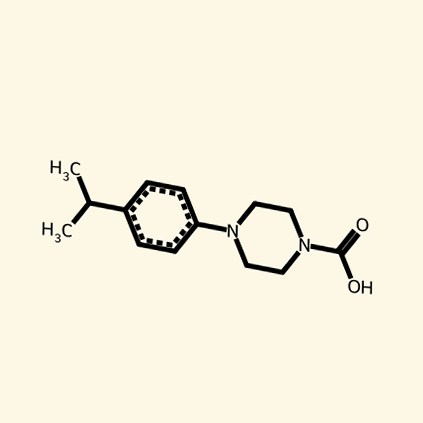 CC(C)c1ccc(N2CCN(C(=O)O)CC2)cc1